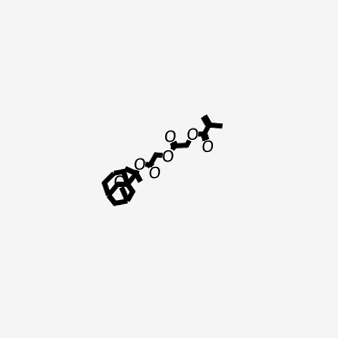 C=C(C)C(=O)OCC(=O)OCC(=O)OC(C)(C)C12CC3CC(CC(C3)C1)C2